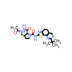 CC(=O)NC[C@@H]1CCN(C(=O)Nc2nc3c(s2)-c2nc(C(C)(C)C)ncc2CC3)[C@@H]1C(N)=O